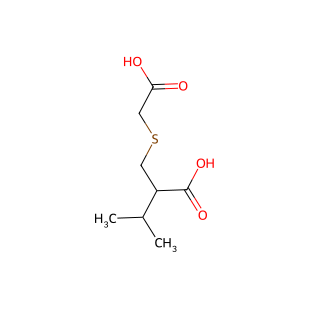 CC(C)C(CSCC(=O)O)C(=O)O